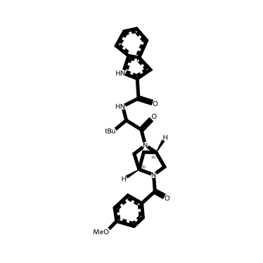 COc1ccc(C(=O)N2C[C@@H]3C[C@H]2CN3C(=O)C(NC(=O)c2cc3ccccc3[nH]2)C(C)(C)C)cc1